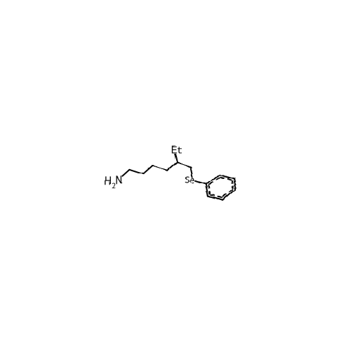 CCC(CCCCN)C[Se]c1ccccc1